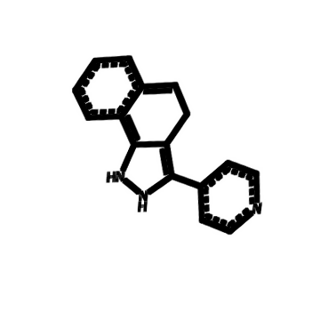 C1=c2ccccc2=C2NNC(c3ccncc3)=C2C1